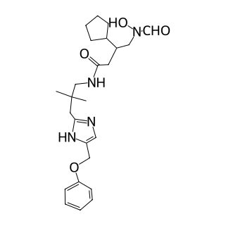 CC(C)(CNC(=O)CC(CN(O)C=O)C1CCCC1)Cc1ncc(COc2ccccc2)[nH]1